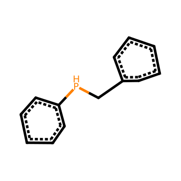 c1ccc(CPc2ccccc2)cc1